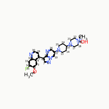 COc1cc2c(-c3cnn4cc(N5CCC(N6CC[N+](C)(O)CC6)CC5)cnc34)ccnc2cc1F